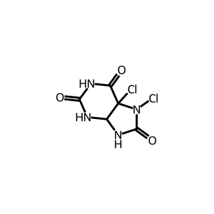 O=C1NC(=O)C2(Cl)C(N1)NC(=O)N2Cl